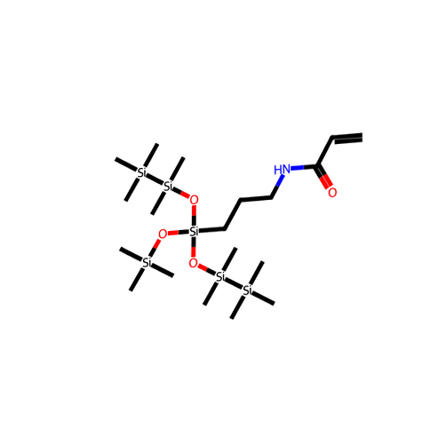 C=CC(=O)NCCC[Si](O[Si](C)(C)C)(O[Si](C)(C)[Si](C)(C)C)O[Si](C)(C)[Si](C)(C)C